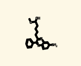 COC(O)CCCCc1nc2c(nc1-c1ccccc1)=CCC(N)C=2